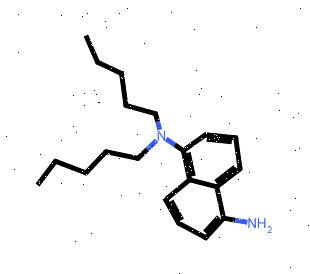 CCCCCN(CCCCC)c1cccc2c(N)cccc12